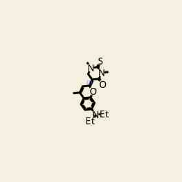 CCN(CC)c1ccc2c(c1)O/C(=C1/CN(C)C(=S)N(C)C1=O)C=C2C